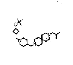 CC(C)CN1CCC2(CC1)CCN(CC1CCN(C[C@H]3C[C@H](OC(C)(C)C)C3)CC1)CC2